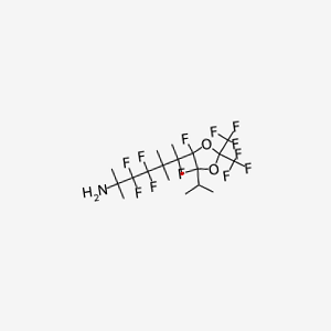 CC(C)C1(F)OC(C(F)(F)F)(C(F)(F)F)OC1(F)C(C)(C)C(C)(C)C(F)(F)C(F)(F)C(C)(C)N